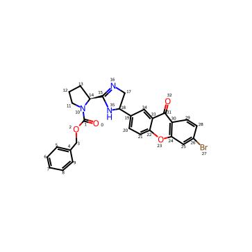 O=C(OCc1ccccc1)N1CCC[C@H]1C1=NCC(c2ccc3oc4cc(Br)ccc4c(=O)c3c2)N1